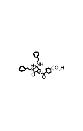 O=C(O)c1ccc(C(=O)N2CC(C(=O)NCCc3ccccc3)C(C(=O)NCCc3ccccc3)C2)cc1